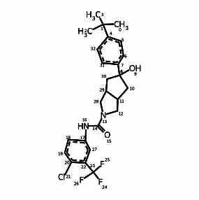 CC(C)(C)c1ccc(C2(O)CC3CN(C(=O)Nc4ccc(Cl)c(C(F)(F)F)c4)CC3C2)cc1